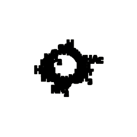 CC(=O)N[C@H]1CCCCNC(=O)[C@@H]2CSC(=N2)c2cccc(c2)C[C@@H](C(N)=O)NC(=O)[C@H](C)NC(=O)C(CC(C)C)NC(=O)[C@H](CCCCN)NC(=O)[C@H](CC(C)C)NC(=O)[C@H](C)NC(=O)[C@H](CC(C)C)NC1=O